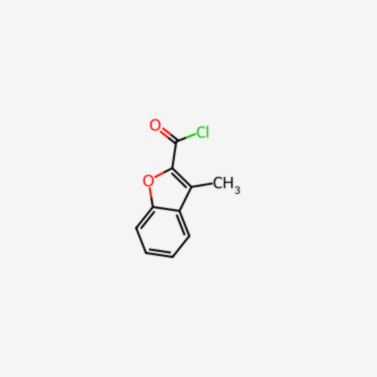 Cc1c(C(=O)Cl)oc2ccccc12